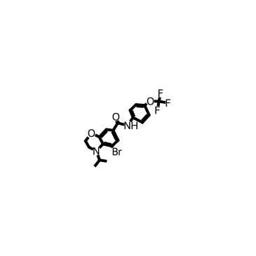 CC(C)N1CCOc2cc(C(=O)Nc3ccc(OC(F)(F)F)cc3)cc(Br)c21